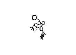 CC(C)(C)OC(=O)N1CC(N=[N+]=[N-])C[C@@H]1C(=O)OCc1ccccc1